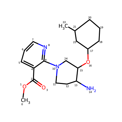 COC(=O)c1cccnc1N1CCC(N)C(OC2CCCC(C)C2)C1